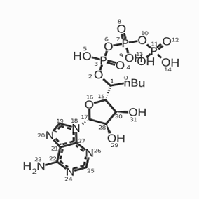 CCCCC(OP(=O)(O)OP(=O)(O)OP(=O)(O)O)[C@H]1O[C@@H](n2cnc3c(N)ncnc32)[C@H](O)[C@@H]1O